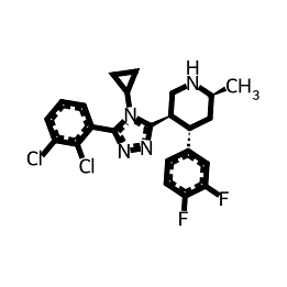 C[C@H]1C[C@H](c2ccc(F)c(F)c2)[C@@H](c2nnc(-c3cccc(Cl)c3Cl)n2C2CC2)CN1